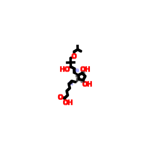 CC(C)COCC(C)(C)C(O)/C=C/[C@@H]1[C@@H](C/C=C\CCCC(=O)O)[C@@H](O)C[C@H]1O